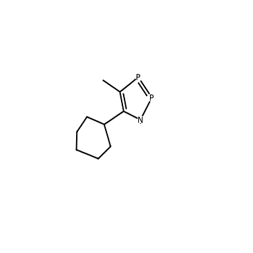 CC1=C(C2CCCCC2)[N]P=P1